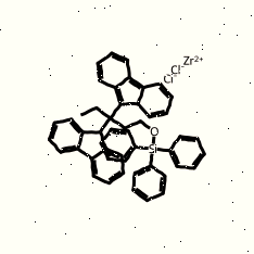 CCC(CCO[Si](c1ccccc1)(c1ccccc1)c1ccccc1)(C1=c2ccccc2=C2C=CC=CC21)C1c2ccccc2-c2ccccc21.[Cl-].[Cl-].[Zr+2]